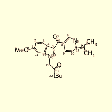 COc1ccc2c(C(=O)c3ccc(N(C)C)nc3)nn(CC(=O)C(C)(C)C)c2c1